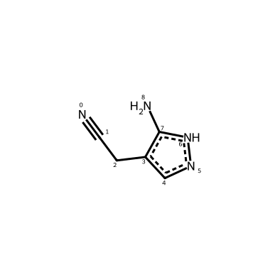 N#CCc1cn[nH]c1N